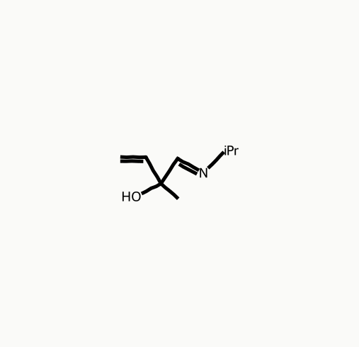 C=CC(C)(O)C=NC(C)C